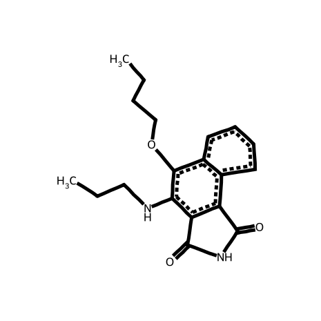 CCCCOc1c(NCCC)c2c(c3ccccc13)C(=O)NC2=O